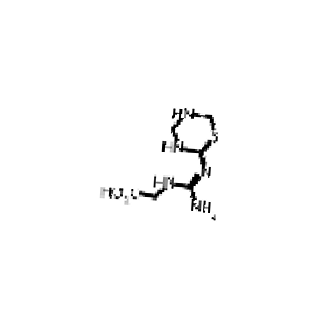 NC(=NC1NCNCS1)NCC(=O)O